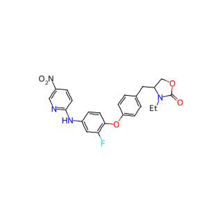 CCN1C(=O)OCC1Cc1ccc(Oc2ccc(Nc3ccc([N+](=O)[O-])cn3)cc2F)cc1